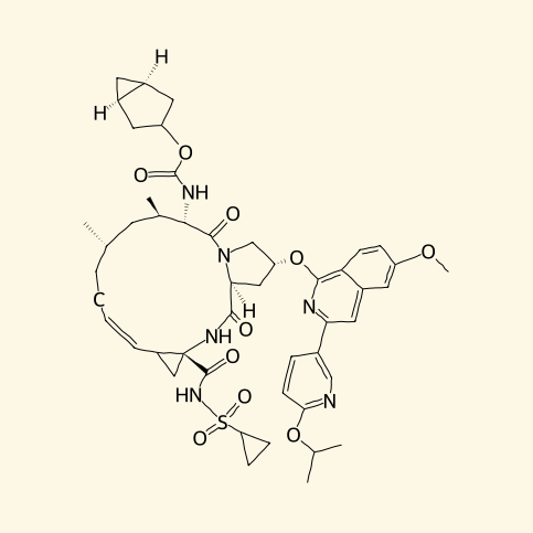 COc1ccc2c(O[C@@H]3C[C@H]4C(=O)N[C@]5(C(=O)NS(=O)(=O)C6CC6)CC5/C=C\CC[C@H](C)C[C@@H](C)[C@H](NC(=O)OC5C[C@@H]6C[C@@H]6C5)C(=O)N4C3)nc(-c3ccc(OC(C)C)nc3)cc2c1